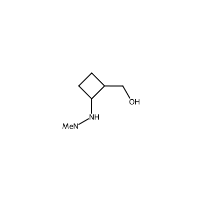 CNNC1CCC1CO